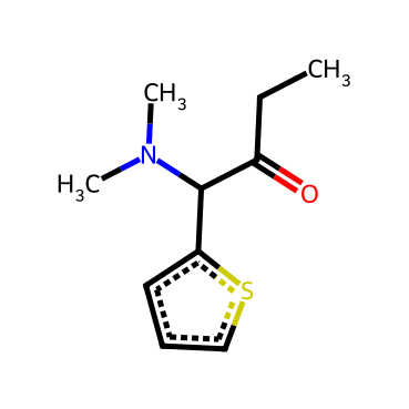 CCC(=O)C(c1cccs1)N(C)C